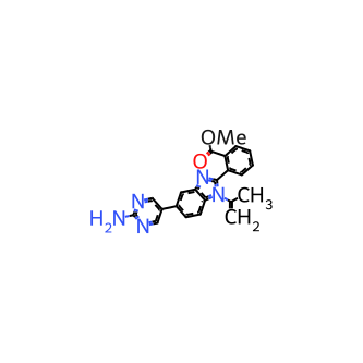 C=C(C)n1c(-c2ccccc2C(=O)OC)nc2cc(-c3cnc(N)nc3)ccc21